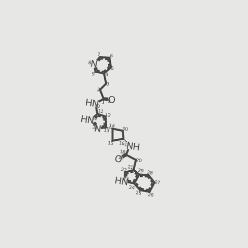 O=C(CCc1cccnc1)Nc1cc([C@H]2C[C@@H](NC(=O)Cc3c[nH]c4ccccc34)C2)n[nH]1